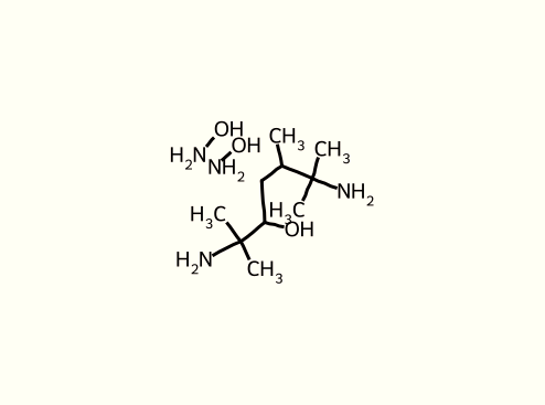 CC(CC(O)C(C)(C)N)C(C)(C)N.NO.NO